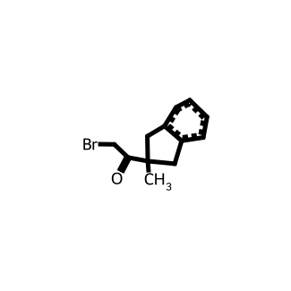 CC1(C(=O)CBr)Cc2ccccc2C1